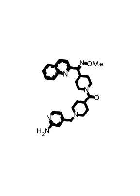 CON=C(c1ccc2ccccc2n1)C1CCN(C(=O)C2CCN(Cc3ccnc(N)c3)CC2)CC1